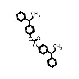 CCC(c1ccccc1)c1ccc(OC(=O)Oc2ccc(C(CC)c3ccccc3)cc2)cc1